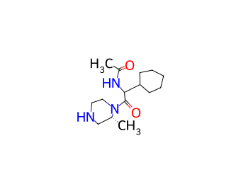 CC(=O)NC(C(=O)N1CCNC[C@H]1C)C1CCCCC1